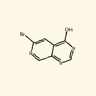 Oc1ncnc2cnc(Br)cc12